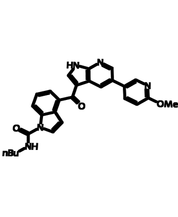 CCCCNC(=O)n1ccc2c(C(=O)c3c[nH]c4ncc(-c5ccc(OC)nc5)cc34)cccc21